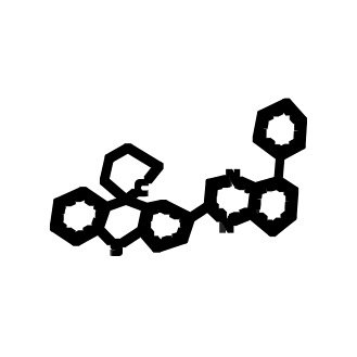 c1ccc(-c2cccc3nc(-c4ccc5c(c4)C4(CCCCC4)c4ccccc4S5)cnc23)cc1